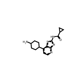 NC1CCC(c2ccnc3nc(NC(=O)C4CC4)sc23)CC1